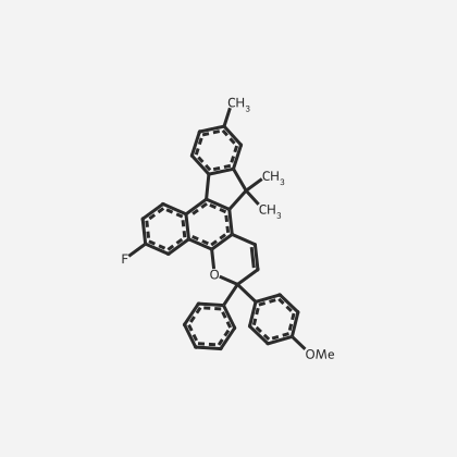 COc1ccc(C2(c3ccccc3)C=Cc3c4c(c5ccc(F)cc5c3O2)-c2ccc(C)cc2C4(C)C)cc1